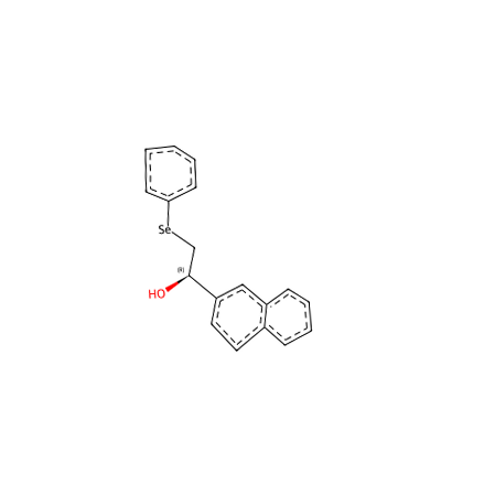 O[C@@H](C[Se]c1ccccc1)c1ccc2ccccc2c1